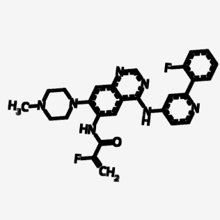 C=C(F)C(=O)Nc1cc2c(Nc3ccnc(-c4ccccc4F)c3)ncnc2cc1N1CCN(C)CC1